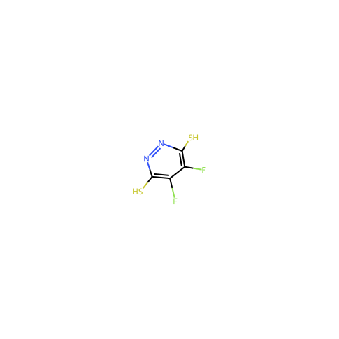 Fc1c(S)nnc(S)c1F